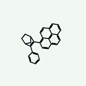 c1ccc(C2=C(c3ccc4ccc5cccc6ccc3c4c56)C3CCC2C3)cc1